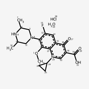 COc1c(N2CC(C)NC(C)C2)c(F)cc2c(=O)c(C(=O)O)cn(C3CC3)c12.Cl.O